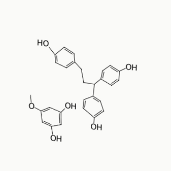 COc1cc(O)cc(O)c1.Oc1ccc(CCC(c2ccc(O)cc2)c2ccc(O)cc2)cc1